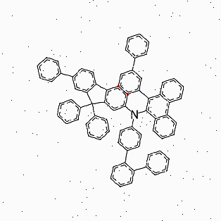 c1ccc(-c2cccc(-c3c(N(c4ccc(-c5ccccc5-c5ccccc5)cc4)c4ccc5c(c4)C(c4ccccc4)(c4ccccc4)c4cc(-c6ccccc6)ccc4-5)c4ccccc4c4ccccc34)c2)cc1